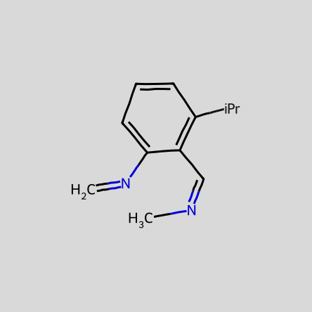 C=Nc1cccc(C(C)C)c1/C=N\C